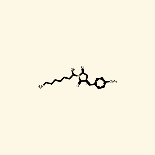 COc1ccc(/C=C2\CC(=O)N(C(O)CCCCCCN)C2=O)cc1